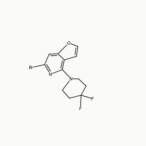 FC1(F)CCN(c2nc(Br)cc3occc23)CC1